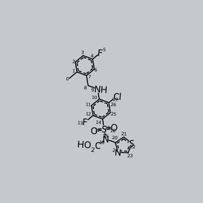 Cc1ccc(F)cc1CNc1cc(F)c(S(=O)(=O)N(C(=O)O)c2cscn2)cc1Cl